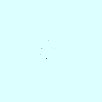 CCCCOc1cc(CC)cc(OCCCC)c1OCCCC